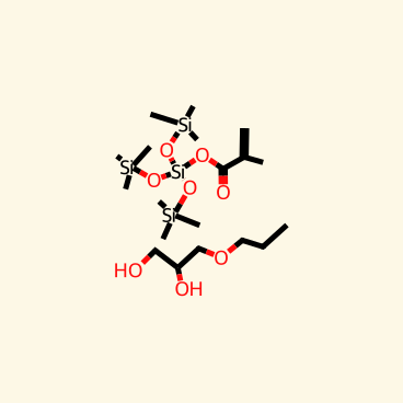 C=C(C)C(=O)O[Si](O[Si](C)(C)C)(O[Si](C)(C)C)O[Si](C)(C)C.CCCOCC(O)CO